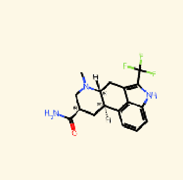 CN1C[C@H](C(N)=O)C[C@@H]2c3cccc4[nH]c(C(F)(F)F)c(c34)C[C@H]21